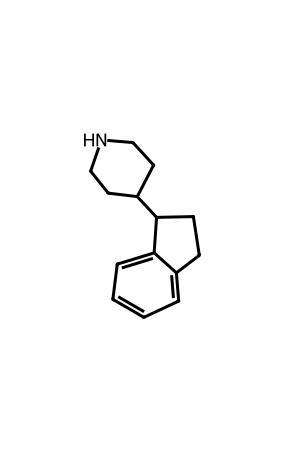 c1ccc2c(c1)CCC2C1CCNCC1